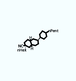 CCCCCC[C@]1(C#N)CC[C@@H]2C[C@@H](C3CCC(CCCCC)CC3)CC[C@@H]2C1